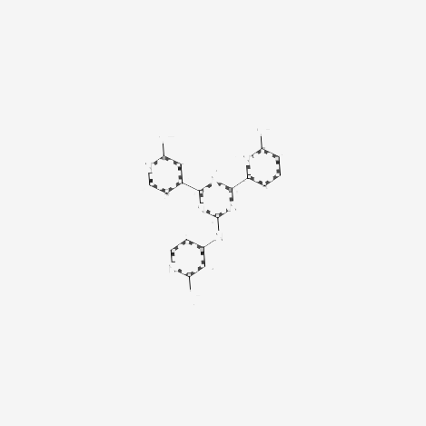 Cc1cc(-c2nc(Nc3ccnc(C(F)(F)F)c3)nc(-c3cccc(C(F)(F)F)n3)n2)ccn1